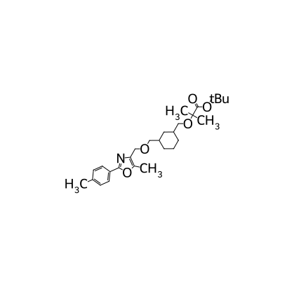 Cc1ccc(-c2nc(COCC3CCCC(COC(C)(C)C(=O)OC(C)(C)C)C3)c(C)o2)cc1